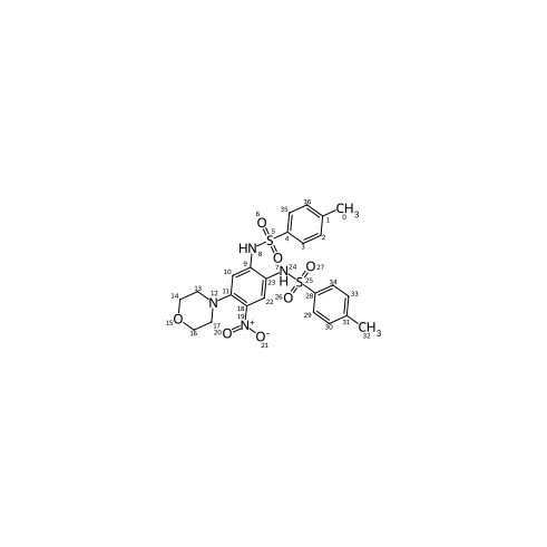 Cc1ccc(S(=O)(=O)Nc2cc(N3CCOCC3)c([N+](=O)[O-])cc2NS(=O)(=O)c2ccc(C)cc2)cc1